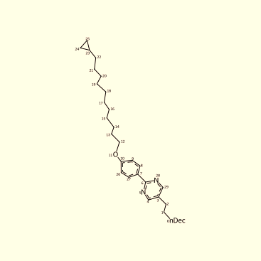 CCCCCCCCCCCCc1cnc(-c2ccc(OCCCCCCCCCCCC3CC3)cc2)nc1